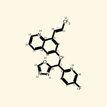 Fc1ccc(C(Oc2cc(/C=C/C(F)(F)F)c3ncccc3c2)c2nnco2)nc1